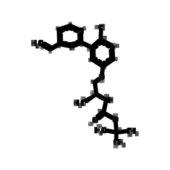 C=Cc1ccnc(-c2cc(OC[C@H](C)NC(=O)OC(C)(C)C)cnc2Cl)c1